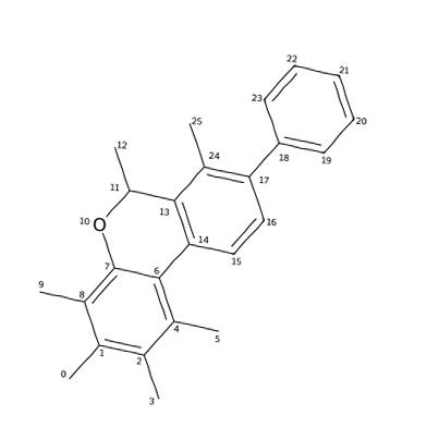 Cc1c(C)c(C)c2c(c1C)OC(C)c1c-2ccc(-c2ccccc2)c1C